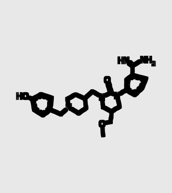 COCC1CN(CC2CCN(Cc3ccc(O)cc3)CC2)C(=O)N(c2cccc(C(=N)N)c2)C1